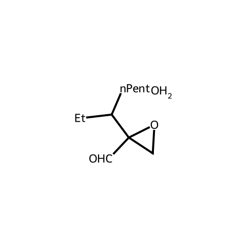 CCCCCC(CC)C1(C=O)CO1.O